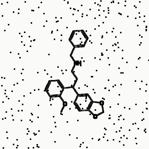 COc1ccccc1C(CCNCc1ccccc1)c1ccc2c(c1)OCO2